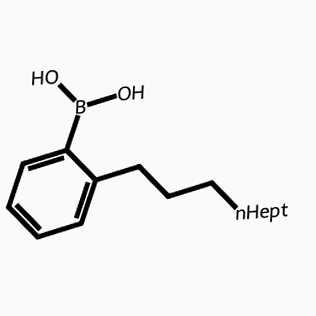 CCCCCCCCCCc1ccccc1B(O)O